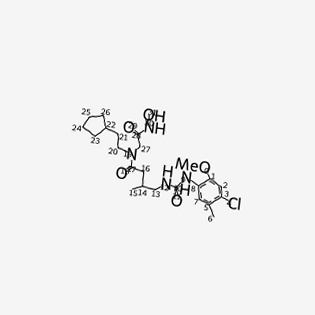 COc1cc(Cl)c(C)cc1NC(=O)NCC(C)CC(=O)N(CCC1CCCC1)CC(=O)NO